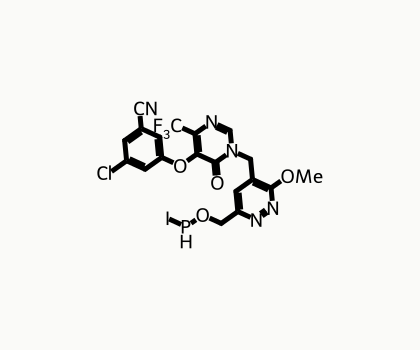 COc1nnc(COPI)cc1Cn1cnc(C(F)(F)F)c(Oc2cc(Cl)cc(C#N)c2)c1=O